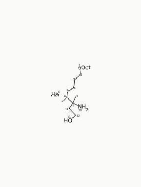 Br.CCCCCCCCCCCCC(C)C(C)(N)CCO